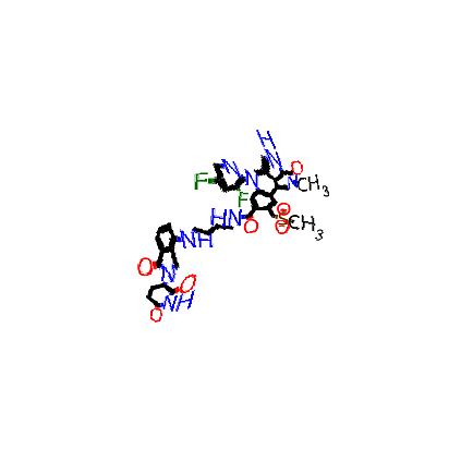 Cn1cc2c3c(c[nH]c3c1=O)CN(c1ncc(F)cc1F)c1cc(C(=O)NCCCCNc3cccc4c3CN(C3CCC(=O)NC3=O)C4=O)c(CS(C)(=O)=O)cc1-2